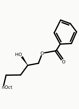 CCCCCCCCCC[C@@H](O)COC(=O)c1ccccc1